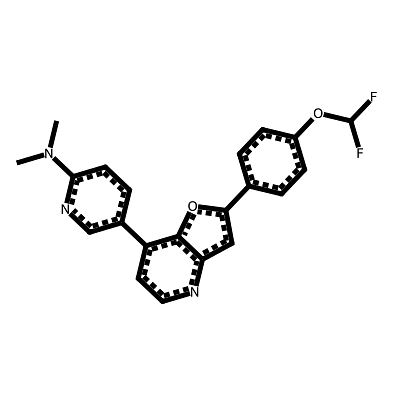 CN(C)c1ccc(-c2ccnc3cc(-c4ccc(OC(F)F)cc4)oc23)cn1